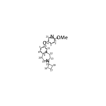 COc1ccc(Oc2ccc3c(c2)CCN(C2CCC2)CC3)cn1